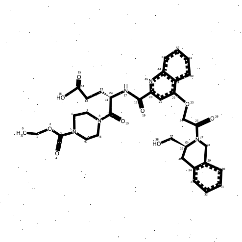 CCOC(=O)N1CCN(C(=O)[C@H](CCC(=O)O)NC(=O)c2cc(OCC(=O)N3Cc4ccccc4C[C@H]3CO)c3ccccc3n2)CC1